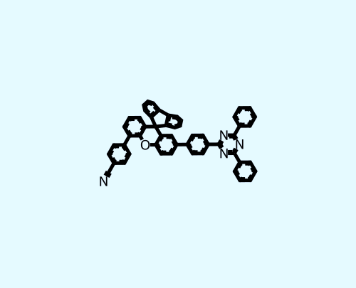 N#Cc1ccc(-c2cccc3c2Oc2ccc(-c4ccc(-c5nc(-c6ccccc6)nc(-c6ccccc6)n5)cc4)cc2C32c3ccccc3-c3ccccc32)cc1